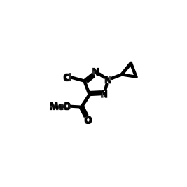 COC(=O)c1nn(C2CC2)nc1Cl